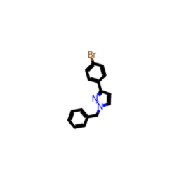 Brc1ccc(-c2ccn(Cc3ccccc3)n2)cc1